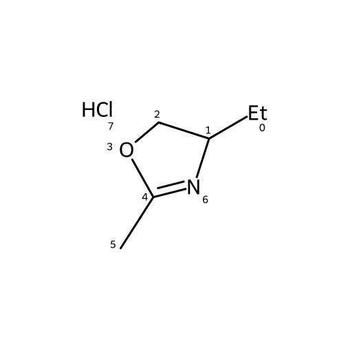 CCC1COC(C)=N1.Cl